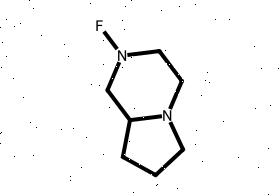 FN1CCN2CCCC2C1